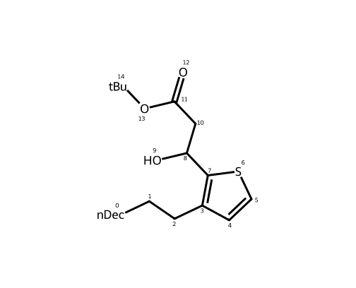 CCCCCCCCCCCCc1ccsc1C(O)CC(=O)OC(C)(C)C